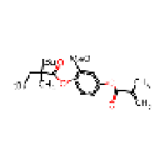 C=C(C)C(=O)Oc1ccc(OC(=O)C(C)(CC(C)(C)C)C(C)(C)C)c(OC)c1